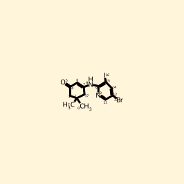 CC1(C)CC(=O)C=C(Nc2ncc(Br)cc2I)C1